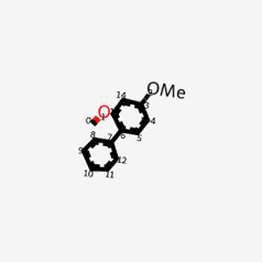 C=O.COc1ccc(-c2ccccc2)cc1